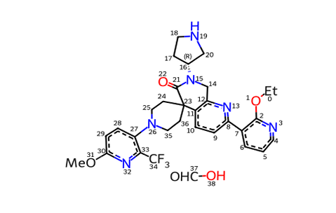 CCOc1ncccc1-c1ccc2c(n1)CN([C@@H]1CCNC1)C(=O)C21CCN(c2ccc(OC)nc2C(F)(F)F)CC1.O=CO